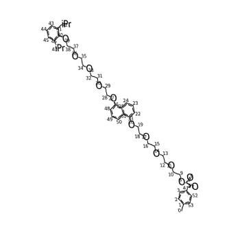 Cc1ccc(S(=O)(=O)OCCOCCOCCOCCOc2cccc3c(OCCOCCOCCOCCOc4c(C(C)C)cccc4C(C)C)cccc23)cc1